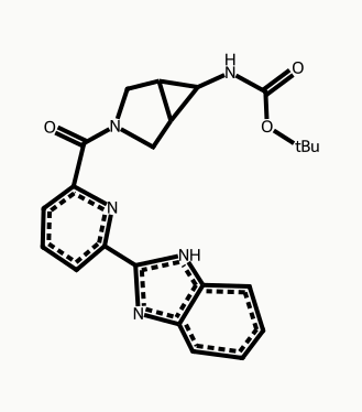 CC(C)(C)OC(=O)NC1C2CN(C(=O)c3cccc(-c4nc5ccccc5[nH]4)n3)CC21